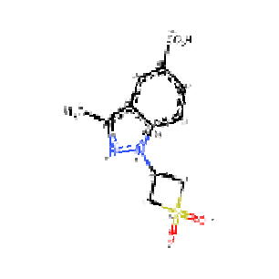 Cc1nn(C2CS(=O)(=O)C2)c2ccc(C(=O)O)cc12